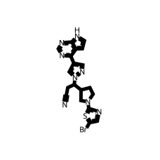 N#CCC(C1CCN(c2ncc(Br)s2)C1)n1cc(-c2ncnc3[nH]ccc23)cn1